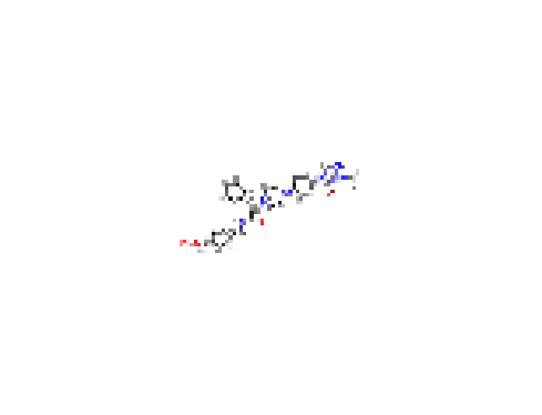 CC(C)n1ncn(-c2ccc(N3CCN(C(C(=O)NCc4ccc(CO)cc4)c4ccccc4)CC3)cc2)c1=O